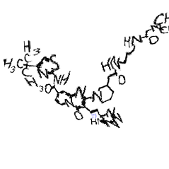 CN(C)CC(=O)NCCCNC(=O)CC1CCCN(c2nc3cc(C(=O)Nc4nc(C(C)(C)C)cs4)ccn3c(=O)c2/C=C/c2nnn[nH]2)C1